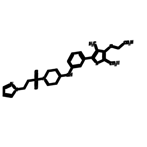 Cc1c(-c2cccc(NC3CCN(S(=O)(=O)CCn4cccn4)CC3)c2)sc(C(=O)O)c1OCC(=O)O